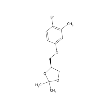 Cc1cc(OC[C@H]2COC(C)(C)O2)ccc1Br